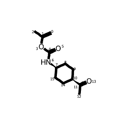 C=C(C)OC(=O)N[C@H]1CC[C@@H](C(C)=O)CC1